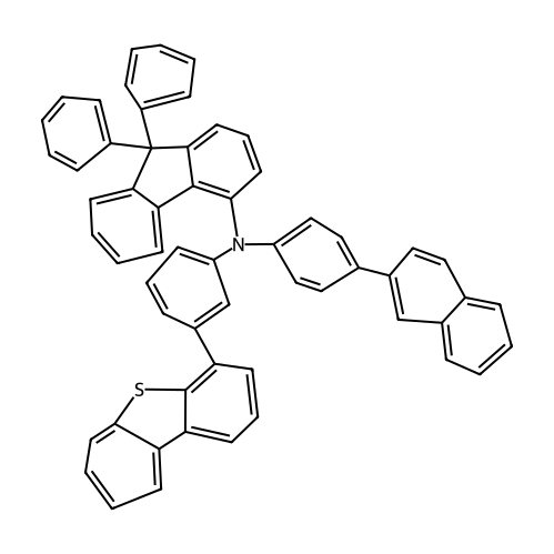 c1ccc(C2(c3ccccc3)c3ccccc3-c3c(N(c4ccc(-c5ccc6ccccc6c5)cc4)c4cccc(-c5cccc6c5sc5ccccc56)c4)cccc32)cc1